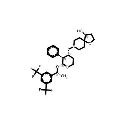 C[C@@H](O[C@H]1OCC[C@@H](CN2CCC3(CC2)OCC[C@@H]3O)[C@@H]1c1ccccc1)c1cc(C(F)(F)F)cc(C(F)(F)F)c1